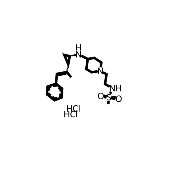 C/C(=C\c1ccccc1)[C@@H]1C[C@H]1NC1CCN(CCNS(C)(=O)=O)CC1.Cl.Cl